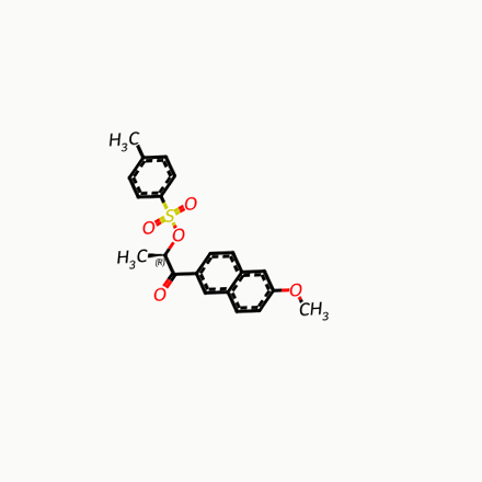 COc1ccc2cc(C(=O)[C@@H](C)OS(=O)(=O)c3ccc(C)cc3)ccc2c1